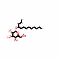 CCCCCCCCCC(CCC)O[C@@H]1OC(CO)[C@@H](O)C(O)C1O